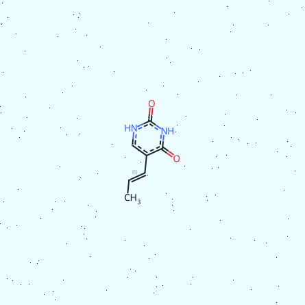 C/C=C/c1c[nH]c(=O)[nH]c1=O